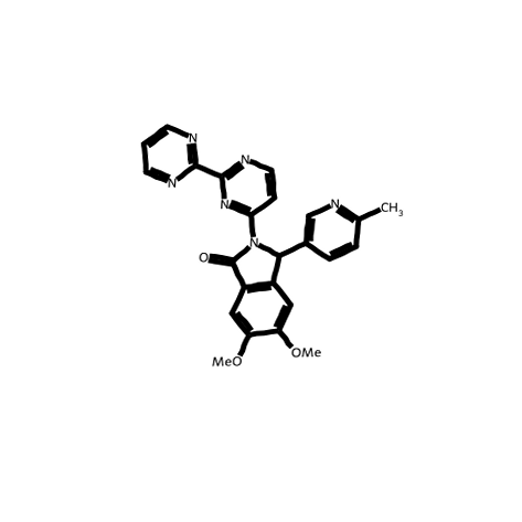 COc1cc2c(cc1OC)C(c1ccc(C)nc1)N(c1ccnc(-c3ncccn3)n1)C2=O